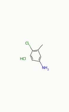 Cc1cc(N)ccc1Cl.Cl